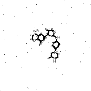 CC1CN(c2ccc(Nc3ncc(F)c(-c4cc(F)c5c(c4)N(C(C)C)CCO5)n3)nc2)CCN1